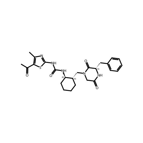 CC(=O)c1sc(NC(=O)N[C@@H]2CCCC[C@H]2CN2CC(=O)N[C@@H](Cc3ccccc3)C2=O)nc1C